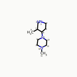 CC1CNCCC1N1CCN(C)CC1